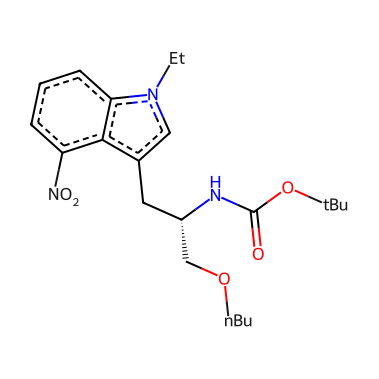 CCCCOC[C@H](Cc1cn(CC)c2cccc([N+](=O)[O-])c12)NC(=O)OC(C)(C)C